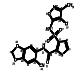 Cc1noc(NS(=O)(=O)c2ccsc2C(=O)Nc2cc3c(cc2C#N)OCO3)c1Cl